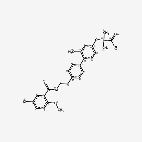 COc1ccc(Cl)cc1C(=O)NCCc1ccc(-c2ccc(OC(C)(C)C(=O)O)cc2C)cc1